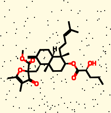 C=C1CC[C@H]2[C@](C)(CCC=C(C)C)[C@@H](OC(=O)[C@H](O)CCC)CC[C@]2(C)[C@@H]1CC1(C(=O)OC)OC(C)=C(C)C1=O